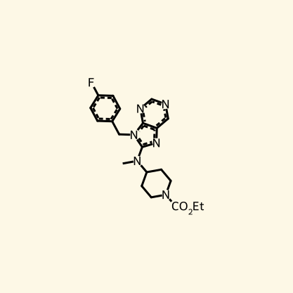 CCOC(=O)N1CCC(N(C)c2nc3cncnc3n2Cc2ccc(F)cc2)CC1